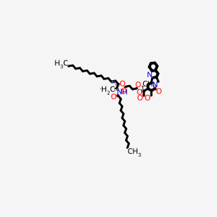 [CH2][C@H](NC(=O)CCCCCCCCCCCCCCC)[C@@H](/C=C/CCCCCCCCCCCCC)OC(=O)CCC(=O)O[C@]1(CC)C(=O)OCc2c1cc1n(c2=O)Cc2cc3ccccc3nc2-1